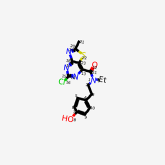 CCN(CCc1ccc(O)cc1)C(=O)c1nc(Cl)nc2nc(C)sc12